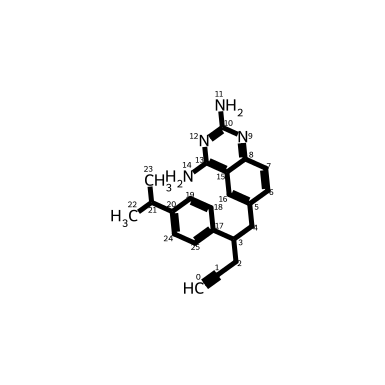 C#CCC(Cc1ccc2nc(N)nc(N)c2c1)c1ccc(C(C)C)cc1